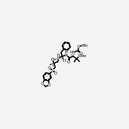 CC[C@](Cc1ccccc1)(NC[C@@](C)(O)CS(=O)(=O)c1ccc2c(c1)OCO2)NC(=O)[C@H](NC(=O)OC(C)(C)C)C(C)(C)SC